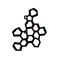 c1ccc(N(c2ccc3c(c2)oc2ccccc23)c2ccccc2-c2cccc3cccc(C4CCCCC4)c23)c(-c2cccc3ccccc23)c1